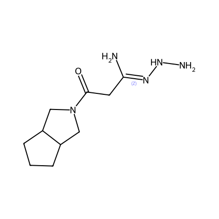 NN/N=C(\N)CC(=O)N1CC2CCCC2C1